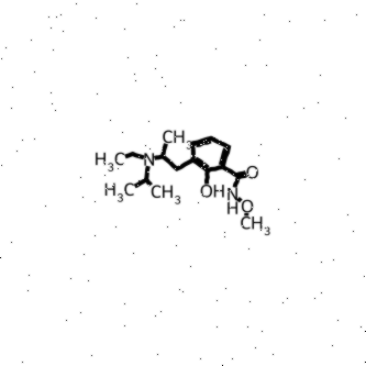 CCN(C(C)C)C(C)Cc1cccc(C(=O)NOC)c1O